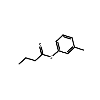 CCCC(=S)Sc1cccc(C)c1